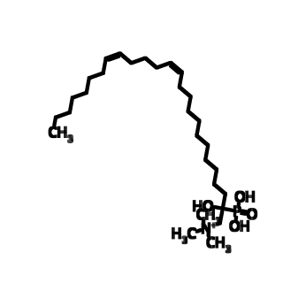 CCCCCCC/C=C\CCC/C=C\CCCCCCCCCCC(O)(C[N+](C)(C)C)P(=O)(O)O